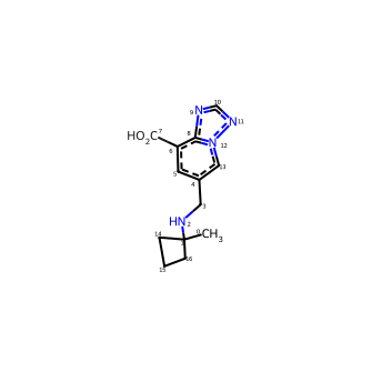 CC1(NCc2cc(C(=O)O)c3ncnn3c2)CCC1